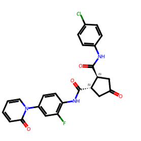 O=C1C[C@H](C(=O)Nc2ccc(Cl)cc2)[C@@H](C(=O)Nc2ccc(-n3ccccc3=O)cc2F)C1